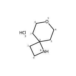 C1CC2(CCOCC2)N1.Cl